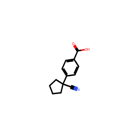 N#CC1(c2ccc(C(=O)O)cc2)CCCC1